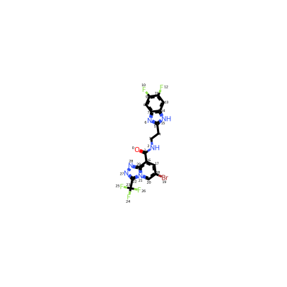 O=C(NCCc1nc2cc(F)c(F)cc2[nH]1)c1cc(Br)cn2c(C(F)(F)F)nnc12